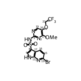 COc1nc(NS(=O)(=O)c2c[nH]c3nc(Br)ccc23)ncc1OCC(F)(F)F